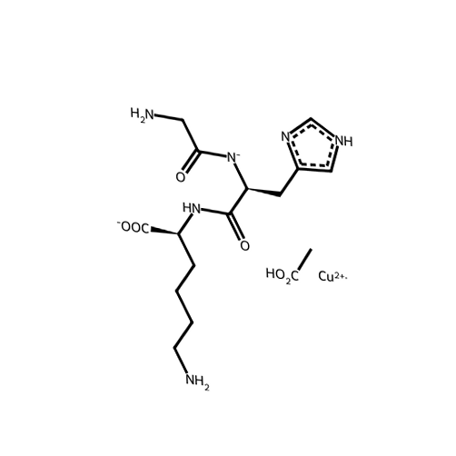 CC(=O)O.NCCCC[C@H](NC(=O)[C@H](Cc1c[nH]cn1)[N-]C(=O)CN)C(=O)[O-].[Cu+2]